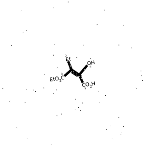 CCOC(=O)/C(CC)=C(/O)C(=O)O